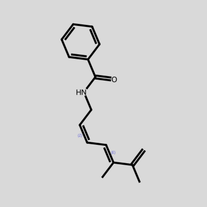 C=C(C)/C(C)=C/C=C\CNC(=O)c1ccccc1